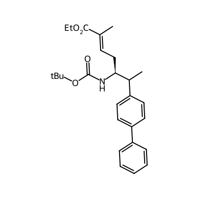 CCOC(=O)C(C)=CC[C@H](NC(=O)OC(C)(C)C)C(C)c1ccc(-c2ccccc2)cc1